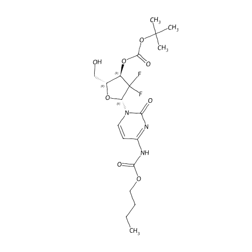 CCCCOC(=O)Nc1ccn([C@@H]2O[C@H](CO)[C@@H](OC(=O)OC(C)(C)C)C2(F)F)c(=O)n1